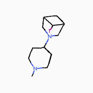 CN1CCC(N2CC3CC(C2)C3I)CC1